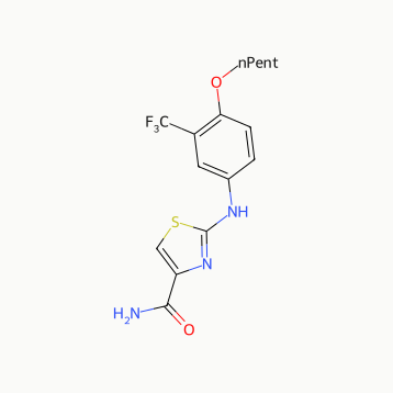 CCCCCOc1ccc(Nc2nc(C(N)=O)cs2)cc1C(F)(F)F